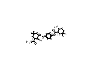 CC(C)C1CCC(C)(C)CC1C(=O)Nc1ccc(COC2CC(C)(C)CC(C(N)=O)C2C(C)C)cc1